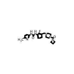 Cc1ccc(NC(=O)Nc2cccc(CN3CCN(C(=O)N4CCC4)CC3)c2F)cn1